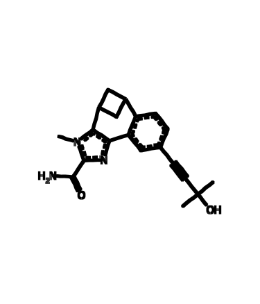 Cn1c(C(N)=O)nc2c1C1CC(C1)c1ccc(C#CC(C)(C)O)cc1-2